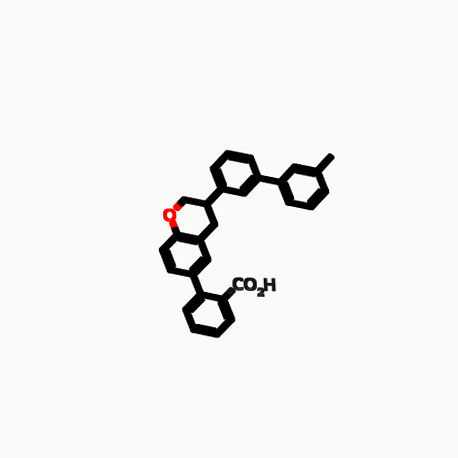 Cc1cccc(-c2cccc(C3COc4ccc(-c5ccccc5C(=O)O)cc4C3)c2)c1